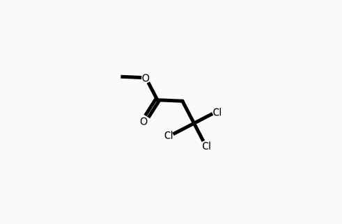 COC(=O)CC(Cl)(Cl)Cl